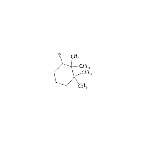 CC1(C)CCCC(F)C1(C)C